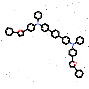 c1ccc(-c2ccc(-c3ccc(N(c4ccccc4)c4ccc(-c5ccc(-c6ccc(N(c7ccccc7)c7ccc(-c8ccc(-c9ccccc9)o8)cc7)cc6)cc5)cc4)cc3)o2)cc1